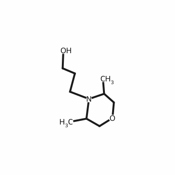 CC1COCC(C)N1CCCO